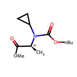 CCCCOC(=O)N(C1CC1)[C@@H](C)C(=O)OC